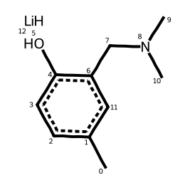 Cc1ccc(O)c(CN(C)C)c1.[LiH]